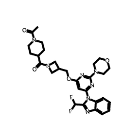 CC(=O)N1CCC(C(=O)N2CC(COc3cc(-n4c(C(F)F)nc5ccccc54)nc(N4CCOCC4)n3)C2)CC1